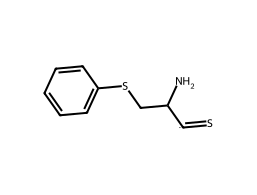 NC([C]=S)CSc1ccccc1